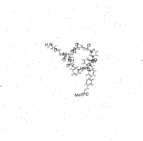 COC(=O)CCc1ccc(-c2ccc(C[C@@H]3NC(=O)[C@]4(Cc5ccccc5)CCCN(C4)C(=O)/C=C/C(=O)NCC[C@@H](C(=O)NCCOCCN)NC(=O)Cc4ccccc4CNC3=O)cc2)cc1